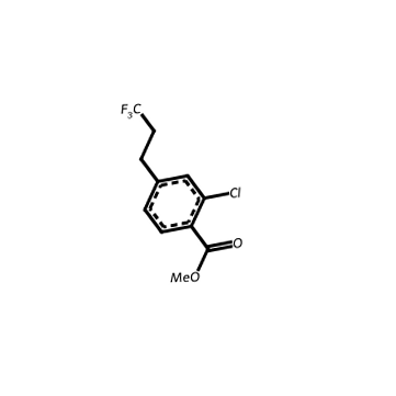 COC(=O)c1ccc(CCC(F)(F)F)cc1Cl